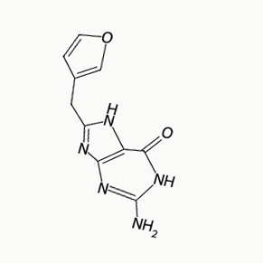 Nc1nc2nc(Cc3ccoc3)[nH]c2c(=O)[nH]1